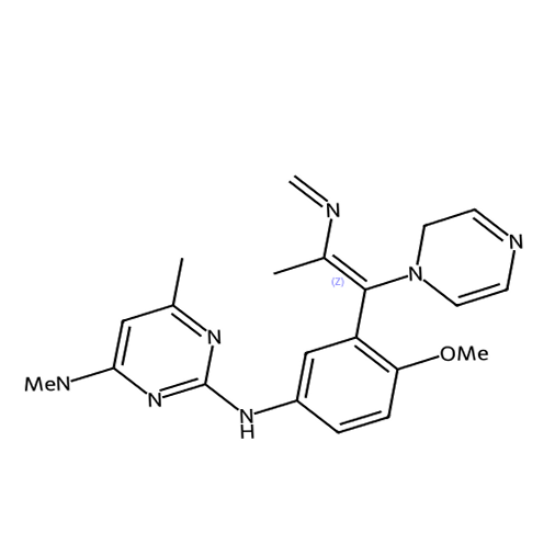 C=N/C(C)=C(/c1cc(Nc2nc(C)cc(NC)n2)ccc1OC)N1C=CN=CC1